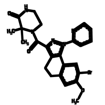 COc1cc2c(cc1Br)-c1c(c(C(=O)N3CCNC(=O)C3(C)C)nn1-c1ccccn1)CC2